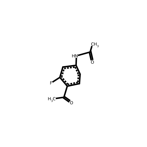 CC(=O)Nc1ccc(C(C)=O)c(F)c1